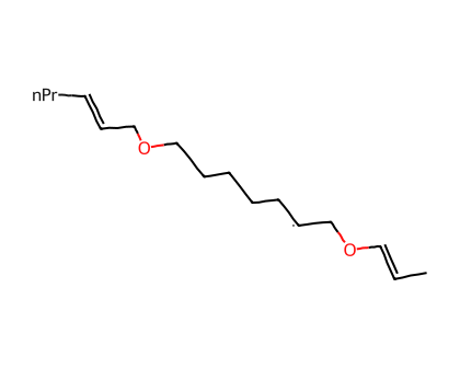 CC=COC[CH]CCCCCOCC=CCCC